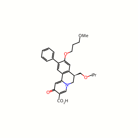 COCCCOc1cc2c(cc1-c1ccccc1)-c1cc(=O)c(C(=O)O)cn1C[C@@H]2COC(C)C